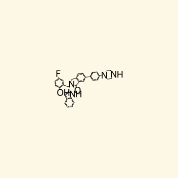 O=C1c2cc(-c3ccc(N4CCNCC4)cc3)ccc2CN1[C@@H](c1cc2ccccc2[nH]1)c1cc(F)ccc1O